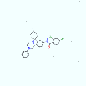 CC1CCC(c2cccc(NC(=O)c3ccc(Cl)cc3Cl)c2)(N2CCN(c3ccccc3)CC2)CC1